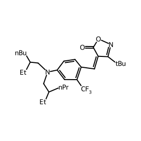 CCCCC(CC)CN(CC(CC)CCC)c1ccc(/C=C2\C(=O)ON=C2C(C)(C)C)c(C(F)(F)F)c1